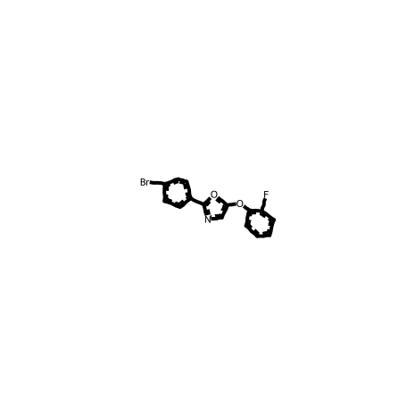 Fc1ccccc1Oc1cnc(-c2ccc(Br)cc2)o1